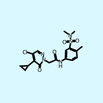 Cc1ccc(NC(=O)Cn2ncc(Cl)c(C3CC3)c2=O)cc1S(=O)(=O)N(C)C